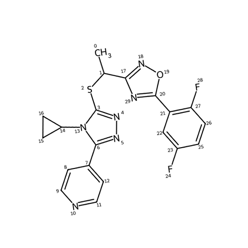 CC(Sc1nnc(-c2ccncc2)n1C1CC1)c1noc(-c2cc(F)ccc2F)n1